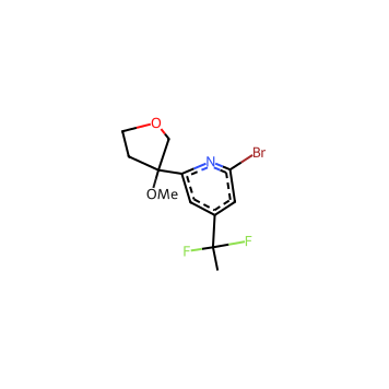 COC1(c2cc(C(C)(F)F)cc(Br)n2)CCOC1